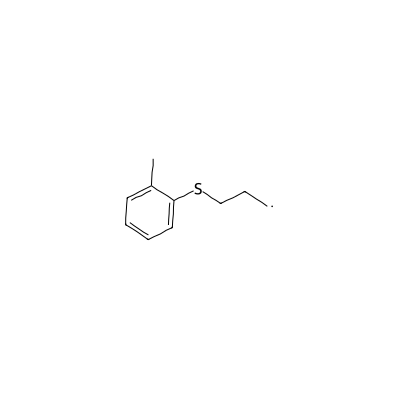 [CH2]CCSc1ccccc1C